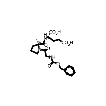 C[C@@]1(C(=O)N[C@@H](CCC(=O)O)C(=O)O)CCCN1C(=O)CNC(=O)OCc1ccccc1